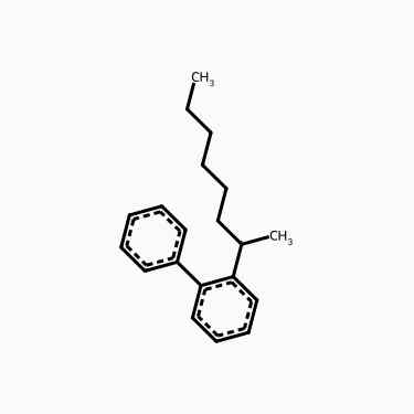 CCCCCC[C](C)c1ccccc1-c1ccccc1